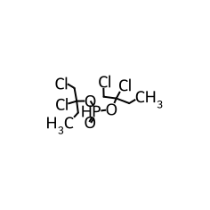 CCC(Cl)(CCl)O[PH](=O)OC(Cl)(CC)CCl